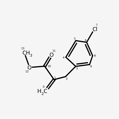 C=C(Cc1ccc(Cl)cc1)C(=O)OC